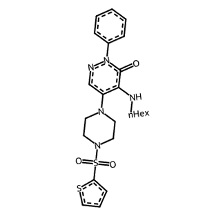 CCCCCCNc1c(N2CCN(S(=O)(=O)c3cccs3)CC2)cnn(-c2ccccc2)c1=O